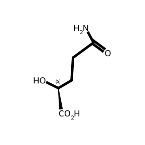 NC(=O)CC[C@H](O)C(=O)O